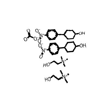 C[N+](C)(C)CCO.C[N+](C)(C)CCO.O=C([O-])[O-].O=[N+]([O-])c1ccc(C2CCC(O)CC2)cc1.O=[N+]([O-])c1ccc(C2CCC(O)CC2)cc1